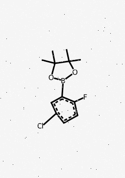 CC1(C)OB(c2cc(Cl)ccc2F)OC1(C)C